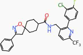 O=C(NCc1ccc(C(F)(F)F)nc1-c1ccc(F)c(Cl)c1)C1CCC2(CC1)CC(c1ccccc1)=NO2